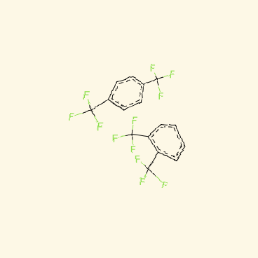 FC(F)(F)c1ccc(C(F)(F)F)cc1.FC(F)(F)c1ccccc1C(F)(F)F